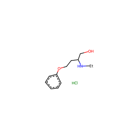 CCNC(CO)CCOc1ccccc1.Cl